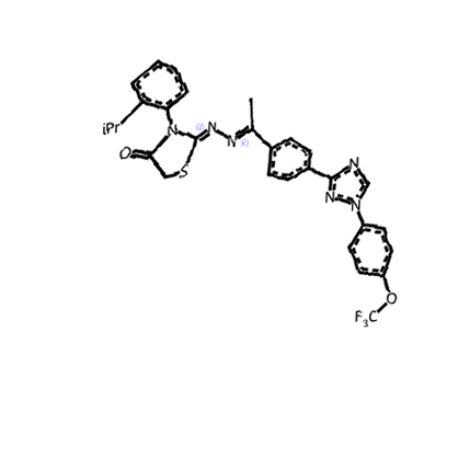 C/C(=N\N=C1/SCC(=O)N1c1ccccc1C(C)C)c1ccc(-c2ncn(-c3ccc(OC(F)(F)F)cc3)n2)cc1